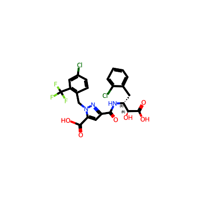 O=C(N[C@H](Cc1ccccc1Cl)[C@@H](O)C(=O)O)c1cc(C(=O)O)n(Cc2ccc(Cl)cc2C(F)(F)F)n1